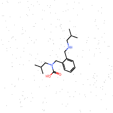 CC(C)CNCc1ccccc1CN(CC(C)C)C(=O)O